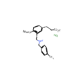 COc1ccc(CCC(=O)O)cc1CNCc1ccc(C(F)(F)F)cc1.Cl